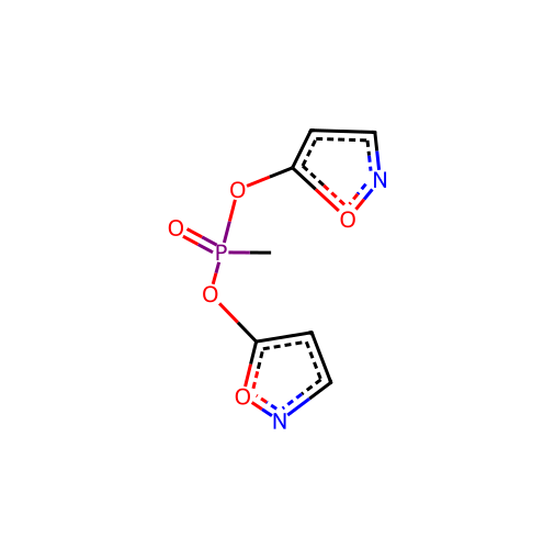 CP(=O)(Oc1ccno1)Oc1ccno1